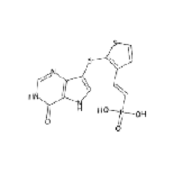 O=c1[nH]cnc2c(Sc3sccc3C=CP(=O)(O)O)c[nH]c12